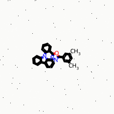 Cc1cc(C)cc(-c2nnc(-c3ccccc3-n3c4ccccc4c4ccccc43)o2)c1